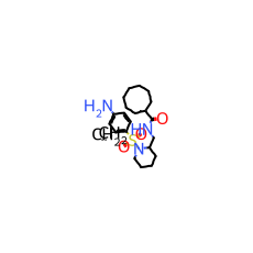 Nc1ccc(S(=O)(=O)N2CCCCC2CNC(=O)[C]2CCCCCCC2)cc1.[CH2].[CH2]